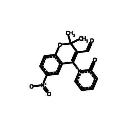 CC1(C)Oc2ccc([N+](=O)[O-])cc2C(n2ccccc2=O)=C1C=O